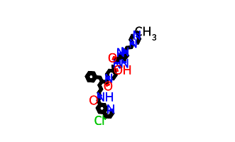 CN1CCN(CCn2cc3ncn(CC4(O)CCN(C(=O)C(CCCNC(=O)c5ccc6c(Cl)ccnc6c5)Cc5ccccc5)CC4)c(=O)c3n2)CC1